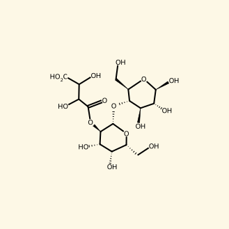 O=C(O)C(O)C(O)C(=O)O[C@H]1[C@H](O[C@H]2[C@H](O)[C@@H](O)[C@H](O)O[C@@H]2CO)O[C@H](CO)[C@H](O)[C@@H]1O